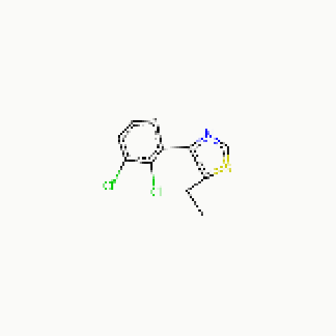 CCc1s[c]nc1-c1cccc(Cl)c1Cl